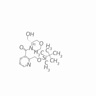 CC(C)(C)[Si](C)(C)OCc1ncccc1C(=O)N1CCOC[C@H]1CO